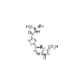 C[C@@H](NC(=O)c1ccc(-c2cnc3[nH]cc(C(=O)O)c3n2)s1)C(C)(C)C